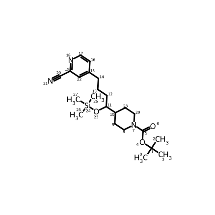 CC(C)(C)OC(=O)N1CCC(C(CCCc2ccnc(C#N)c2)O[Si](C)(C)C)CC1